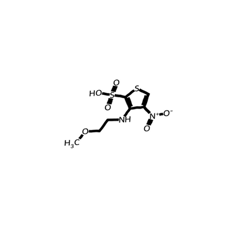 COCCNc1c([N+](=O)[O-])csc1S(=O)(=O)O